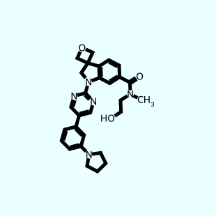 CN(CCO)C(=O)c1ccc2c(c1)N(c1ncc(-c3cccc(N4CCCC4)c3)cn1)CC21COC1